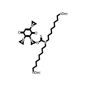 CCCCCCCCCCCCCCCCCCN(CCCCCCCCCCCCCCCCCC)C(=S)S.O=C1C=C(N2CC2)C(=O)C(N2CC2)=C1N1CC1